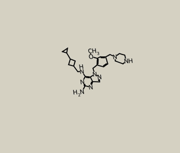 COc1cc(CN2CCNCC2)ccc1Cn1ncc2nc(N)nc(NCC3CC(C4CC4)C3)c21